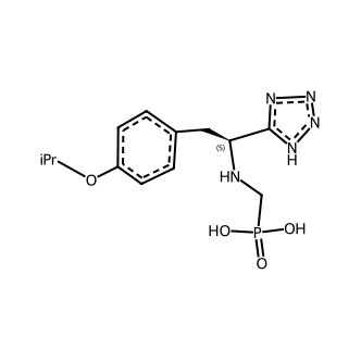 CC(C)Oc1ccc(C[C@H](NCP(=O)(O)O)c2nnn[nH]2)cc1